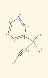 CC#CC(C)(O)c1cccnc1